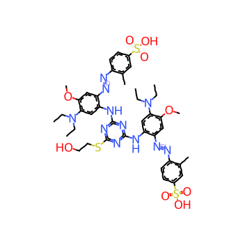 CCN(CC)c1cc(Nc2nc(Nc3cc(N(CC)CC)c(OC)cc3/N=N/c3ccc(S(=O)(=O)O)cc3C)nc(SCCO)n2)c(/N=N/c2ccc(S(=O)(=O)O)cc2C)cc1OC